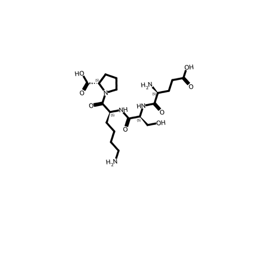 NCCCC[C@H](NC(=O)[C@H](CO)NC(=O)[C@@H](N)CCC(=O)O)C(=O)N1CCC[C@H]1C(=O)O